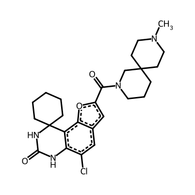 CN1CCC2(CCCN(C(=O)c3cc4cc(Cl)c5c(c4o3)C3(CCCCC3)NC(=O)N5)C2)CC1